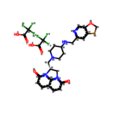 O=C(O)C(F)(F)F.O=C(O)C(F)(F)F.O=c1ccc2ccc(=O)n3c2n1C[C@H]3CN1CCC(NCc2cc3c(cn2)OCS3)CC1